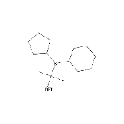 CCCC(C)(C)B(C1CCCCC1)C1CCCC1